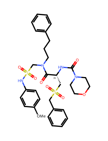 COc1ccc(NS(=O)(=O)CN(CCCc2ccccc2)C(=O)[C@@H](CS(=O)(=O)Cc2ccccc2)NC(=O)N2CCOCC2)cc1